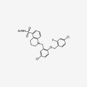 CC(=O)NS(=O)(=O)c1cccc2c1CCCN2Cc1cc(Cl)ccc1OCc1ccc(Cl)cc1F